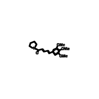 COc1cc(/C=C/C=C/C(=O)N2CCCCC2)cc(OC)c1OC